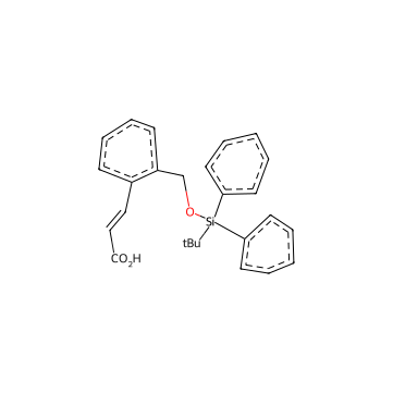 CC(C)(C)[Si](OCc1ccccc1C=CC(=O)O)(c1ccccc1)c1ccccc1